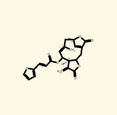 C=C1C(=O)OC2CC3=C[C@@H](C/C(C)=C/C(OC(=O)/C=C/c4ccco4)[C@H]12)OC3=O